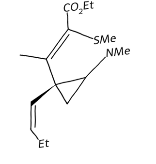 CC/C=C\[C@]1(/C(C)=C(\SC)C(=O)OCC)CC1NC